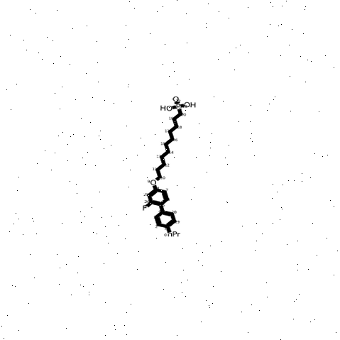 CCCc1ccc(-c2ccc(OCCCCCCCCCCCP(=O)(O)O)cc2F)cc1